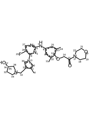 Cc1cn(-c2nc(Nc3cc(C)c(OCC(=O)N4CCOCC4)c(C)c3)ncc2F)cc1CN1CC[C@@H](O)C1